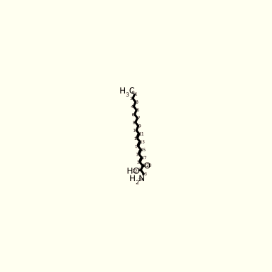 CCCCCCCCCCCC=CC=CC=CC=CC(=O)C(O)CN